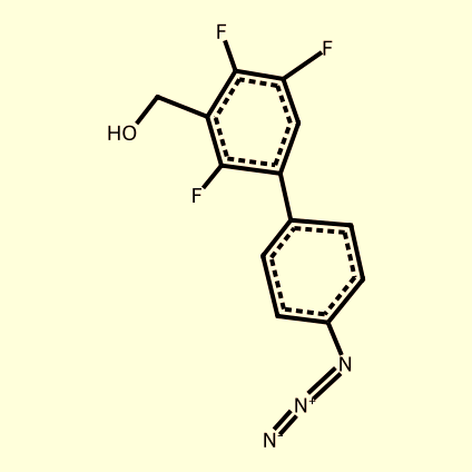 [N-]=[N+]=Nc1ccc(-c2cc(F)c(F)c(CO)c2F)cc1